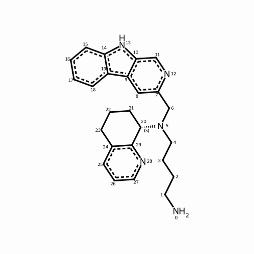 NCCCCN(Cc1cc2c(cn1)[nH]c1ccccc12)[C@H]1CCCc2cccnc21